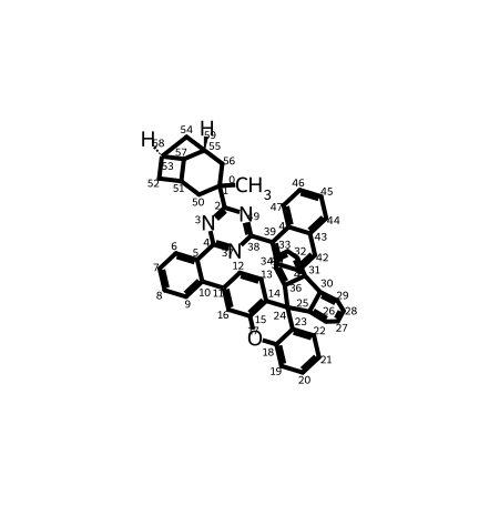 CC1(c2nc(-c3ccccc3-c3ccc4c(c3)Oc3ccccc3C43c4ccccc4-c4ccccc43)nc(-c3cccc4ccccc34)n2)CC2C[C@H]3C[C@H](C1)C23